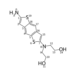 Nc1cc2cc3sc(N(CCO)CCO)cc3cc2s1